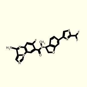 CN(C(=O)c1cc2c(cc1F)nc(N)c1cncn12)[C@@H]1COc2cc(-c3csc(C(F)F)n3)ccc21